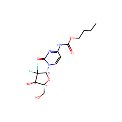 CCCCOC(=O)Nc1ccn([C@@H]2O[C@H](CO)[C@@H](O)C2(F)F)c(=O)n1